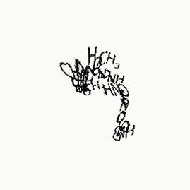 COc1cc(N2CCC(NCCNC(=O)C3CN(c4ccc(C5CCC(=O)NC5=O)cc4)C3)CC2)ccc1Nc1ncc(Cl)c(Nc2cccc3c2N(S(C)(=O)=O)CC3)n1